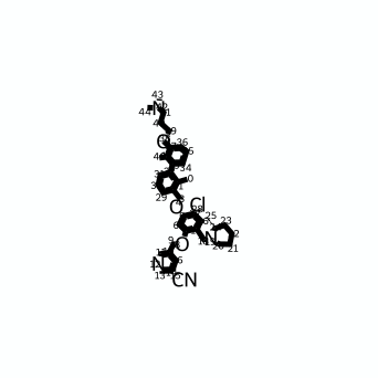 Cc1c(COc2cc(OCc3cncc(C#N)c3)c(CN3CCCC[C@H]3C)cc2Cl)cccc1-c1cccc(OCCCN(C)C)c1C